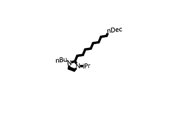 CCCCCCCCCCCCCCCCCCC1N(CCCC)C=CN1C(C)C